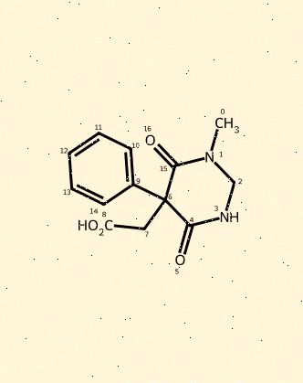 CN1CNC(=O)C(CC(=O)O)(c2ccccc2)C1=O